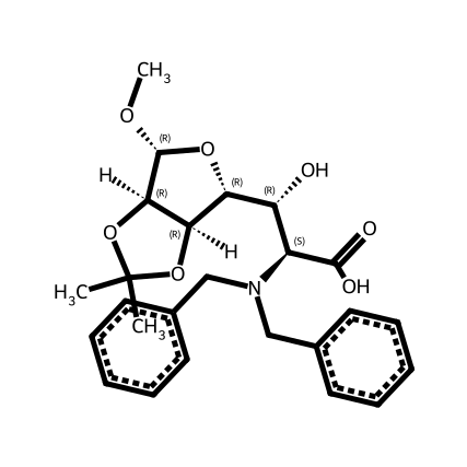 CO[C@@H]1O[C@H]([C@H](O)[C@@H](C(=O)O)N(Cc2ccccc2)Cc2ccccc2)[C@H]2OC(C)(C)O[C@@H]12